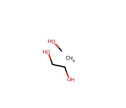 C.CO.OCCO